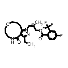 CCc1nn(C[C@@H](C)COC(=O)c2ccc(F)cc2C(F)(F)F)c2c1C(=O)NCCCOCCC2